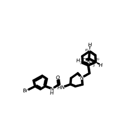 CC1(C)[C@H]2CC=C(CN3CCC(NC(=O)Nc4cccc(Br)c4)CC3)[C@H]1C2